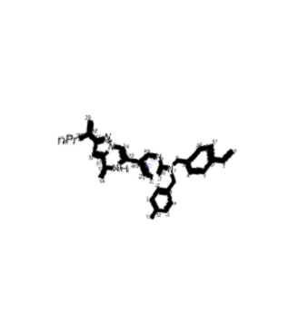 C=Cc1ccc(CN(Cc2ccc(C)cc2)C(=C)/N=C\C(=C/C)C2=Cn3nc(C(=C)CCC)cc3C(=C)N2)cc1